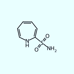 NS(=O)(=O)C1=CC=CC=CN1